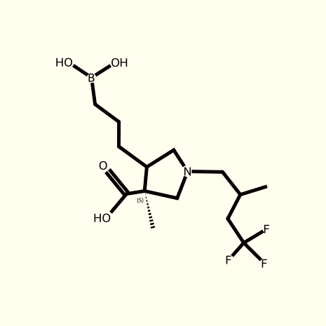 CC(CN1CC(CCCB(O)O)[C@](C)(C(=O)O)C1)CC(F)(F)F